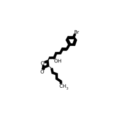 CCCCCC[C@@H]1C(=O)O[C@H]1CC(O)CCC=Cc1ccc(Br)cc1